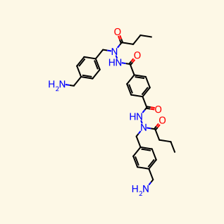 CCCC(=O)N(Cc1ccc(CN)cc1)NC(=O)c1ccc(C(=O)NN(Cc2ccc(CN)cc2)C(=O)CCC)cc1